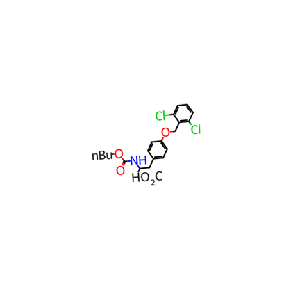 CCCCOC(=O)N[C@@H](Cc1ccc(OCc2c(Cl)cccc2Cl)cc1)C(=O)O